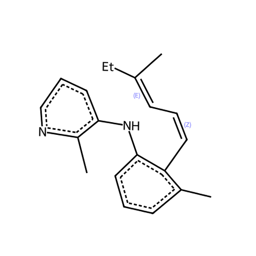 CC/C(C)=C/C=C\c1c(C)cccc1Nc1cccnc1C